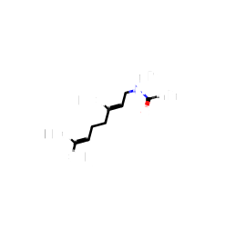 CCCC(=O)N(C/C=C(\C)CCC=C(C)C)CCC